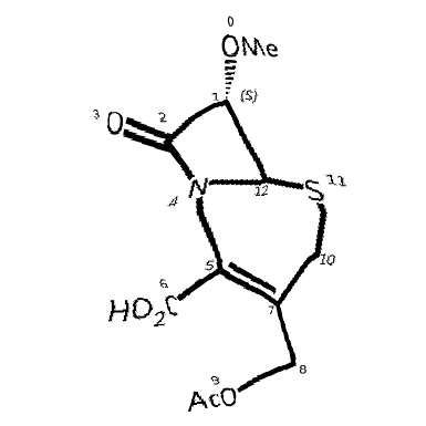 CO[C@H]1C(=O)N2C(C(=O)O)=C(COC(C)=O)CSC12